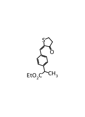 CCOC(=O)C(C)c1ccc(C=C2SCCC2=O)cc1